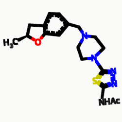 CC(=O)Nc1nnc(N2CCN(Cc3ccc4c(c3)O[C@@H](C)C4)CC2)s1